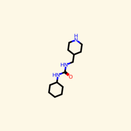 O=C(NCC1CCNCC1)NC1CCCCC1